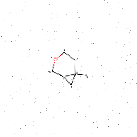 CC12CCOCC1C2